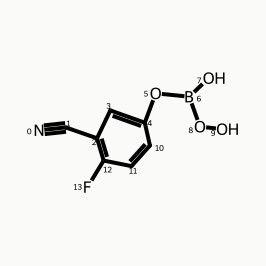 N#Cc1cc(OB(O)OO)ccc1F